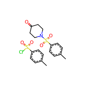 Cc1ccc(S(=O)(=O)Cl)cc1.Cc1ccc(S(=O)(=O)N2CCC(=O)CC2)cc1